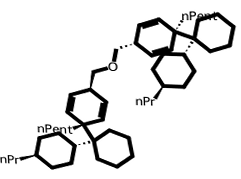 CCCCC[C@]1(C2([C@H]3CC[C@H](CCC)CC3)CCCCC2)C=C[C@H](COC[C@H]2C=C[C@](CCCCC)(C3([C@H]4CC[C@H](CCC)CC4)CCCCC3)C=C2)C=C1